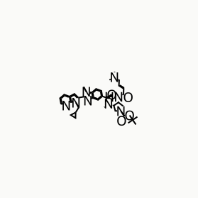 CN(C)C/C=C/C(=O)N[C@H]1CN(C(=O)OC(C)(C)C)C[C@@H]1N(C)C(=O)c1ccc2c(c1)nc(-c1cc3cccnc3n1CC1CC1)n2C